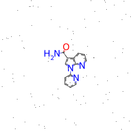 NC(=O)c1cn(-c2ccccn2)c2ncccc12